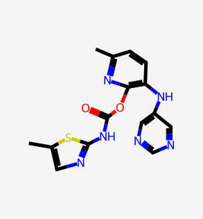 Cc1ccc(Nc2cncnc2)c(OC(=O)Nc2ncc(C)s2)n1